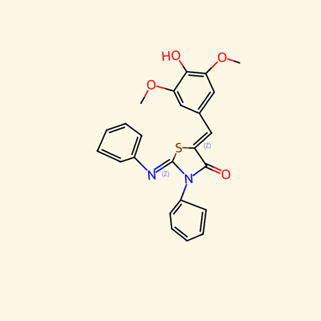 COc1cc(/C=C2\S/C(=N\c3ccccc3)N(c3ccccc3)C2=O)cc(OC)c1O